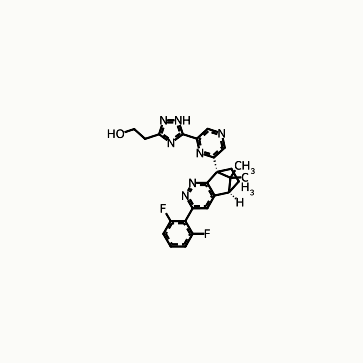 CC1(C)[C@H]2CC[C@]1(c1cncc(-c3nc(CCO)n[nH]3)n1)c1nnc(-c3c(F)cccc3F)cc12